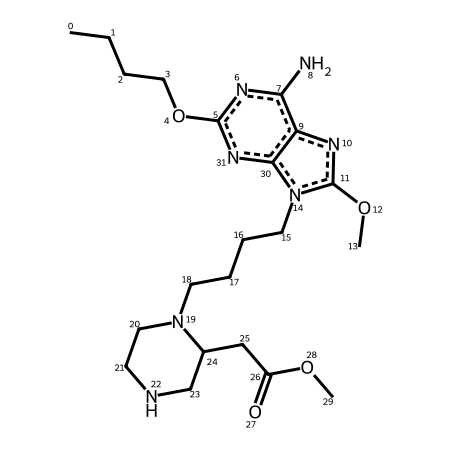 CCCCOc1nc(N)c2nc(OC)n(CCCCN3CCNCC3CC(=O)OC)c2n1